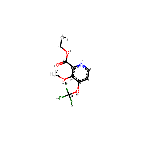 CCOC(=O)c1nccc(OC(F)(F)F)c1OC